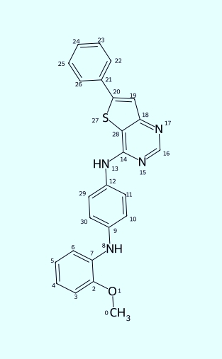 COc1ccccc1Nc1ccc(Nc2ncnc3cc(-c4ccccc4)sc23)cc1